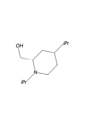 CC(C)C1CCN(C(C)C)[C@H](CO)C1